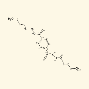 CCCCOOOC(=O)c1ccc(C(=O)OOOCCCC)cc1